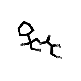 CC=C(C)C(=O)OCC(CO)(CCC)C1CCCCC1